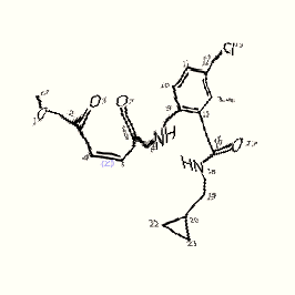 COC(=O)/C=C\C(=O)Nc1ccc(Cl)cc1C(=O)NCC1CC1